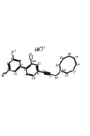 Cl.Fc1cc(F)cc(-c2ccc(C#CCN3CCCCCCC3)cc2Cl)c1